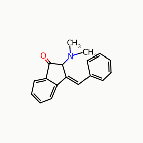 CN(C)C1C(=O)c2ccccc2/C1=C/c1ccccc1